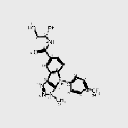 CC[C@@H](CO)NC(=O)c1ccc2c(c1)c1nnn(C)c1n2-c1ccc(C(F)(F)F)cc1